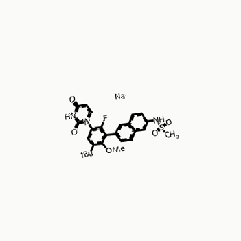 COc1c(C(C)(C)C)cc(-n2ccc(=O)[nH]c2=O)c(F)c1-c1ccc2cc(NS(C)(=O)=O)ccc2c1.[Na]